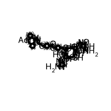 CC(=O)N1Cc2ccccc2-c2c(nnn2CCOc2ccc(C(=O)Oc3ccc(CS[P@@]4(=O)N[C@@H]5[C@@H](O)[C@H](n6cnc7c(N)ncnc76)O[C@@H]5CO[P@](=O)(S)N[C@H]5[C@@H](O)[C@H](n6cnc7c(=O)[nH]c(N)nc76)O[C@@H]5CO4)cc3)cc2)-c2ccccc21